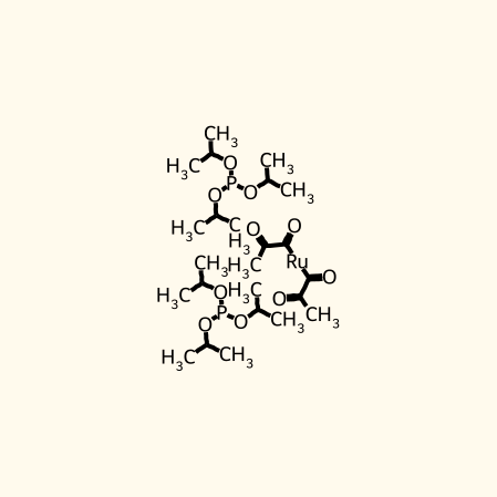 CC(=O)[C](=O)[Ru][C](=O)C(C)=O.CC(C)OP(OC(C)C)OC(C)C.CC(C)OP(OC(C)C)OC(C)C